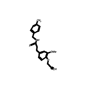 C#CCOc1ccc(CCC(=S)NCc2ccc(C)cc2)cc1OC